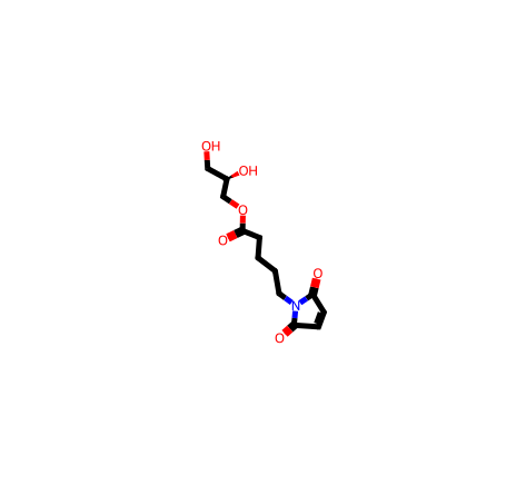 O=C(CCCCN1C(=O)C=CC1=O)OC[C@H](O)CO